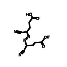 N#CC(CCC(=O)O)N=NC(C#N)CCC(=O)O